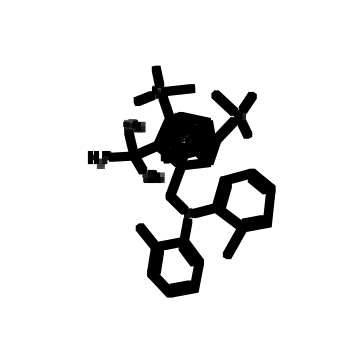 Cc1ccccc1P(C[C]12[CH]3[C]4([Si](C)(C)C)[C]5([Si](C)(C)C)[C]1(C(P)(C(C)(C)C)C(C)(C)C)[Fe]32451678[CH]2[CH]1[CH]6[CH]7[CH]28)c1ccccc1C